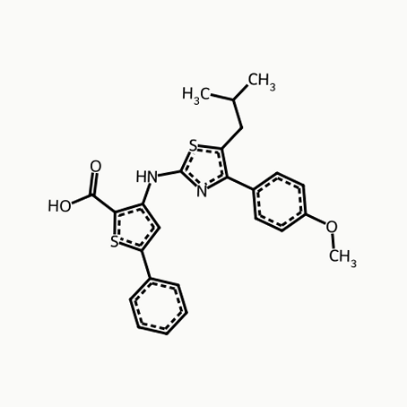 COc1ccc(-c2nc(Nc3cc(-c4ccccc4)sc3C(=O)O)sc2CC(C)C)cc1